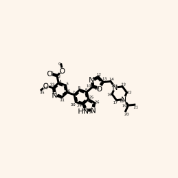 COC(=O)c1cc(-c2cc(-c3ncc(CN4CCN(C(C)C)CC4)o3)c3cn[nH]c3c2)cnc1OC